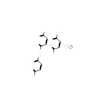 O=C([O-])/C=C\C(=O)[O-].O=C([O-])/C=C\C(=O)[O-].O=C([O-])/C=C\C(=O)[O-].[NH4+].[NH4+].[Zr+4]